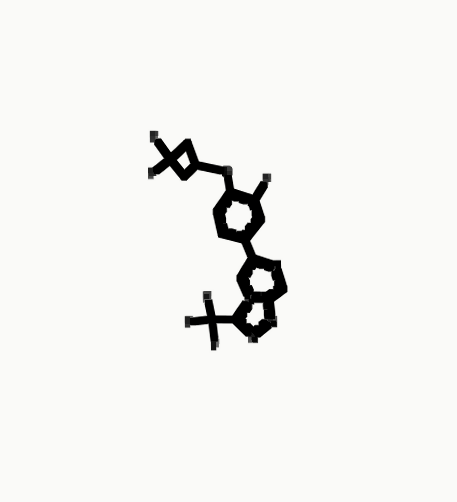 Fc1cc(-c2cn3c(C(F)(F)F)nnc3cn2)ccc1OC1CC(F)(F)C1